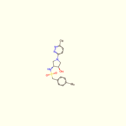 CC(C)(C)c1ccc(CS(=O)(=O)N[C@H]2CN(c3ccc(C#N)nn3)C[C@H]2O)cc1